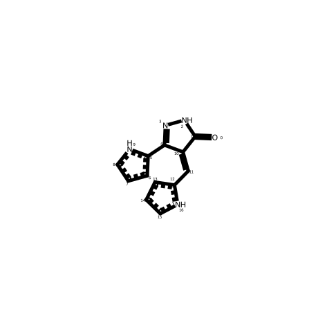 O=C1NN=C(c2ccc[nH]2)/C1=C\c1ccc[nH]1